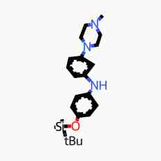 CN1CCN(c2cccc(Nc3ccc(O[Si](C)(C)C(C)(C)C)cc3)c2)CC1